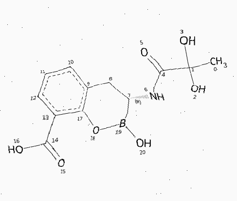 CC(O)(O)C(=O)N[C@H]1Cc2cccc(C(=O)O)c2OB1O